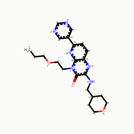 CCCOCCn1c(=O)c(NCC2CCOCC2)nc2ccc(-c3cncnc3)nc21